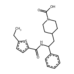 CCc1ccc(C(=O)NC(CC2CCN(C(=O)O)CC2)c2ccccc2)s1